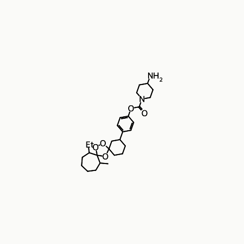 CCC1CCCCC(C)C12OOC1(CCCC(c3ccc(OC(=O)N4CCC(N)CC4)cc3)C1)O2